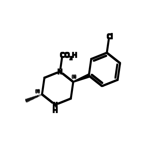 C[C@@H]1CN(C(=O)O)[C@@H](c2cccc(Cl)c2)CN1